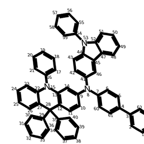 c1ccc(-c2ccc(N(c3ccc4c(c3)N(c3ccccc3)c3ccccc3C4(c3ccccc3)c3ccccc3)c3ccc4c(c3)c3ccccc3n4-c3ccccc3)cc2)cc1